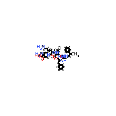 CC(C)C[C@@H](NC(=O)C(Cc1ccccc1)NC(=O)CNC[C@H](C)c1ccccc1)C(=O)N[C@H](CCCCN)C(=O)N1CCC(N)(C(=O)O)CC1